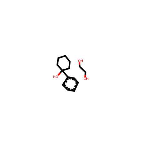 OC1(c2ccccc2)CCCCC1.OCCO